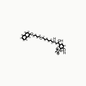 CS(=O)(=O)Nc1cc(C(O)CNCCCCCCOCCCCOc2ccc3ccccc3c2)ccc1O